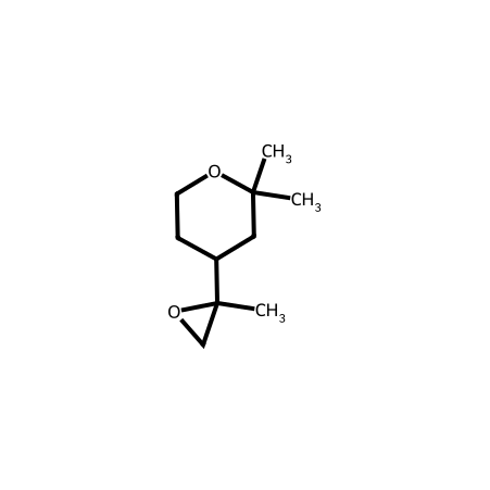 CC1(C)CC(C2(C)CO2)CCO1